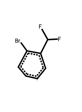 FC(F)c1c[c]ccc1Br